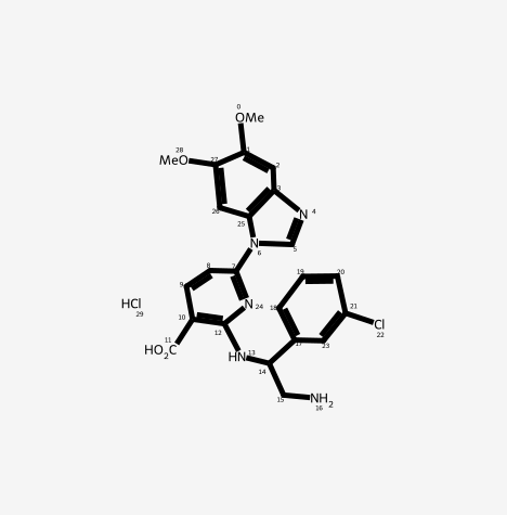 COc1cc2ncn(-c3ccc(C(=O)O)c(NC(CN)c4cccc(Cl)c4)n3)c2cc1OC.Cl